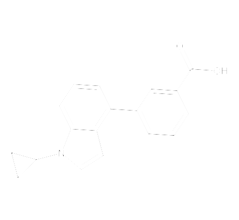 O=C(O)c1cccc(-c2c[c]cc3c2ccn3C2CC2)c1